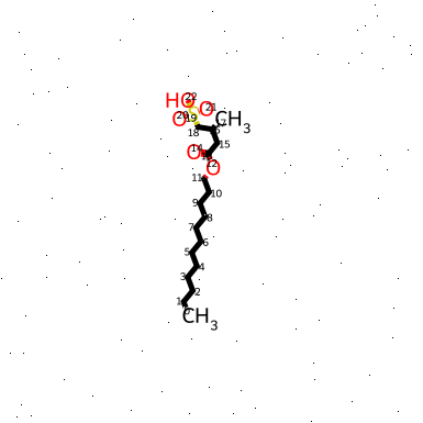 CCCCCCCCCCCCOC(=O)CC(C)CS(=O)(=O)O